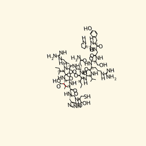 CC[C@H](C)[C@H](NC(=O)[C@H](CCCNC(=N)N)NC(=O)[C@H](CCC(N)=O)NC(=O)[C@@H](NC(=O)[C@@H](NC(=O)[C@H](CCCNC(=N)N)NC(=O)[C@H](CO)NC(=O)CNC(=O)[C@H](Cc1ccc(O)cc1)NC(=O)[C@@H]1CCCN1)C(C)C)[C@@H](C)CC)C(=O)N[C@@H](CC(C)C)C(=O)N[C@@H](CCC(=O)O)C(=O)N[C@@H](Cc1c[nH]cn1)C(=O)N[C@@H](CS)C(=O)O